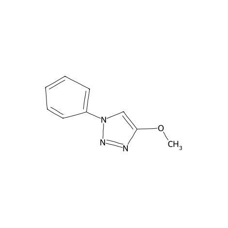 COc1cn(-c2ccccc2)nn1